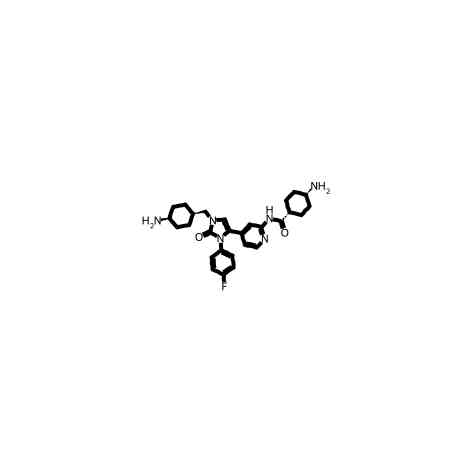 N[C@H]1CC[C@@H](Cn2cc(-c3ccnc(NC(=O)[C@H]4CC[C@@H](N)CC4)c3)n(-c3ccc(F)cc3)c2=O)CC1